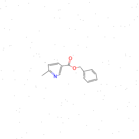 Cc1ccc(C(=O)OCc2ccccc2)cn1